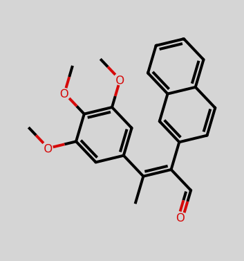 COc1cc(C(C)=C(C=O)c2ccc3ccccc3c2)cc(OC)c1OC